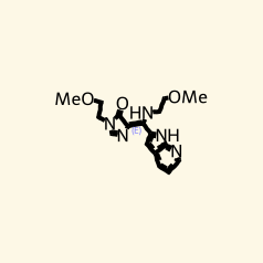 COCCN/C(=C1/N=CN(CCOC)C1=O)c1cc2cccnc2[nH]1